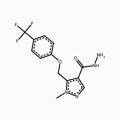 Cn1ncc(C(=O)NN)c1COc1ccc(C(F)(F)F)cc1